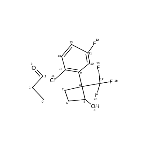 CCC=O.OC1CCC1(c1cc(F)ccc1Cl)C(F)(F)F